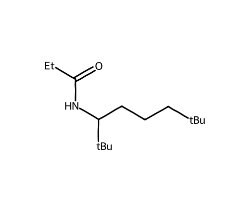 CCC(=O)NC(CCCC(C)(C)C)C(C)(C)C